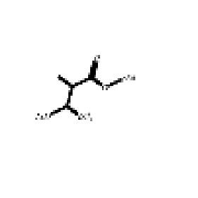 CCCCOC(=O)C(C)C(OC(C)=O)C(Cl)(Cl)Cl